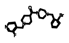 O=C(C1CCN(Cc2ccncc2F)CC1)N1CCN(Cc2ccccc2Br)CC1